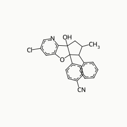 CC1CC2(O)c3ncc(Cl)cc3OC2(c2ccc(C#N)cc2)C1c1ccccc1